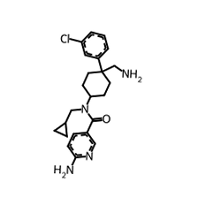 NCC1(c2cccc(Cl)c2)CCC(N(CC2CC2)C(=O)c2ccc(N)nc2)CC1